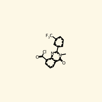 Cn1c(-c2cccc(C(F)(F)F)c2)nc2c(C(=O)Cl)cccc2c1=O